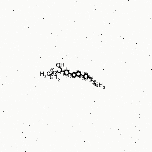 C=C(C)C(=O)OCCC(CCO)C1CCC(c2ccc3cc(-c4ccc(CCCCC)cc4)ccc3c2)CC1